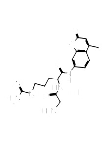 Cc1cc(=O)oc2cc(NC(=O)[C@H](CCCNC(=N)N)NC(=O)CN)ccc12.Cl